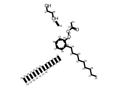 C=C.C=C.C=C.C=C.C=C.C=C.C=C.C=C.C=C.C=C.C=C.C=C.C=C.CCCCCCCCCc1ccccc1OOC(C)=O.OCCO